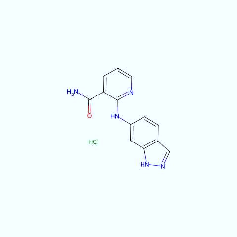 Cl.NC(=O)c1cccnc1Nc1ccc2cn[nH]c2c1